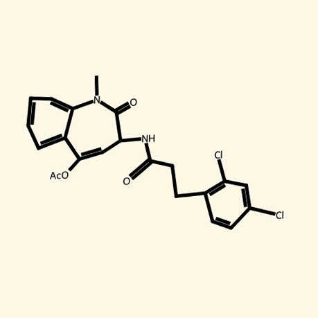 CC(=O)OC1=CC(NC(=O)CCc2ccc(Cl)cc2Cl)C(=O)N(C)c2ccccc21